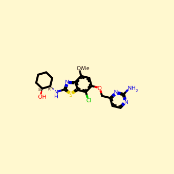 COc1cc(OCc2ccnc(N)n2)c(Cl)c2sc(N[C@H]3CCCC[C@@H]3O)nc12